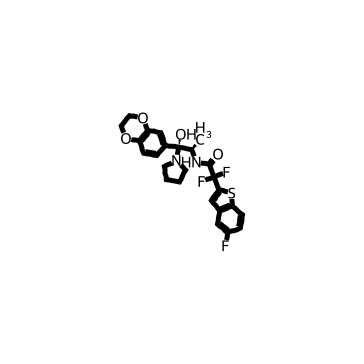 C[C@@H](NC(=O)C(F)(F)c1cc2cc(F)ccc2s1)[C@](O)(c1ccc2c(c1)OCCO2)N1CCCC1